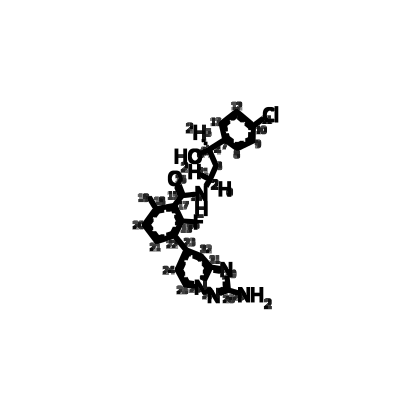 [2H]C([2H])(C[C@@]([2H])(O)c1ccc(Cl)cc1)NC(=O)c1c(C)ccc(-c2ccn3nc(N)nc3c2)c1F